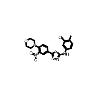 Cc1ccc(Nc2nnc(-c3ccc(N4CCOCC4)c([N+](=O)[O-])c3)s2)cc1Cl